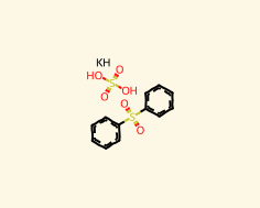 O=S(=O)(O)O.O=S(=O)(c1ccccc1)c1ccccc1.[KH]